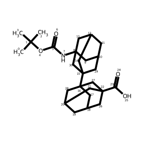 CC(C)(C)OC(=O)NC12CC3CC(C1)CC(C14CC5CC(CC(C(=O)O)(C5)C1)C4)(C3)C2